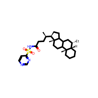 CC[C@H]1CC2C3CC[C@H]([C@H](C)CCC(=O)NS(=O)(=O)c4ccncn4)[C@@]3(C)CCC2[C@@]2(C)CCCC[C@@H]12